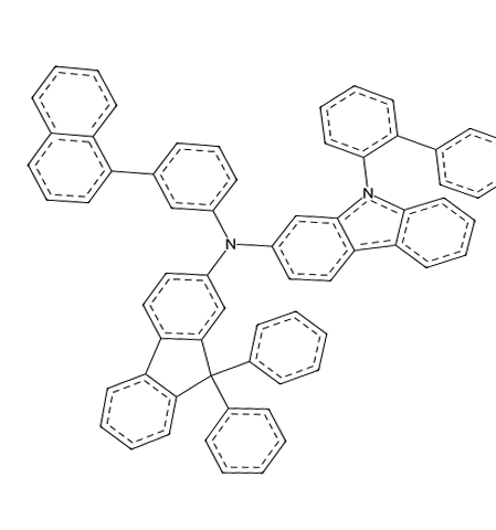 c1ccc(-c2ccccc2-n2c3ccccc3c3ccc(N(c4cccc(-c5cccc6ccccc56)c4)c4ccc5c(c4)C(c4ccccc4)(c4ccccc4)c4ccccc4-5)cc32)cc1